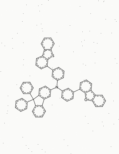 c1ccc(C2(c3ccccc3)c3ccccc3-c3cc(N(c4cccc(-c5cccc6c5oc5ccccc56)c4)c4cccc(-c5cccc6c5sc5ccccc56)c4)ccc32)cc1